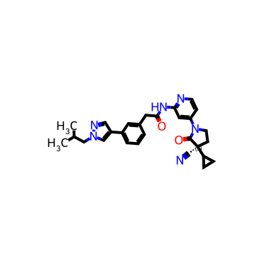 CC(C)Cn1cc(-c2cccc(CC(=O)Nc3cc(N4CC[C@@](C#N)(C5CC5)C4=O)ccn3)c2)cn1